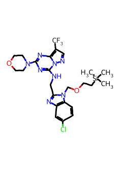 C[Si](C)(C)CCOCn1c(CNc2nc(N3CCOCC3)nc3c(C(F)(F)F)cnn23)nc2cc(Cl)ccc21